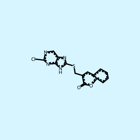 O=c1oc2ccccc2cc1CSc1nc2cnc(Cl)nc2[nH]1